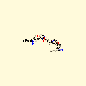 CCCCCNc1ccc(OC2CCN(OC(=O)/C=C/C(=O)ON3CCC(Oc4ccc(NCCCCC)cc4)CC3)CC2)cc1